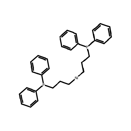 c1ccc(P(CC[CH2][Ni][CH2]CCP(c2ccccc2)c2ccccc2)c2ccccc2)cc1